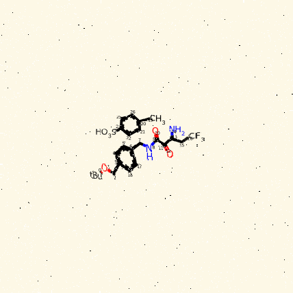 CC(C)(C)OCc1ccc(CNC(=O)C(=O)C(N)CC(F)(F)F)cc1.Cc1ccc(S(=O)(=O)O)cc1